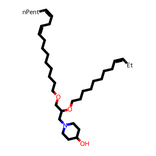 CC/C=C\CCCCCCCCOC(COCCCCCCCC/C=C\C/C=C\CCCCC)CN1CCC(O)CC1